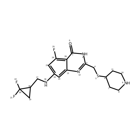 O=c1[nH]c(CSC2CCNCC2)nc2cc(NCC3CC3(F)F)cc(F)c12